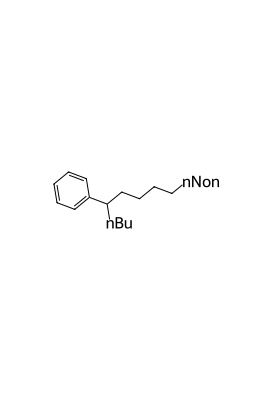 CCCCCCCCCCCCCC(CCCC)c1ccccc1